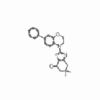 CC1(C)CC(=O)c2sc(N3CCOc4cc(-c5ccccc5)ccc43)nc2C1